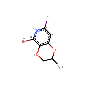 FC(F)(F)C1COc2c(cc(I)nc2Br)O1